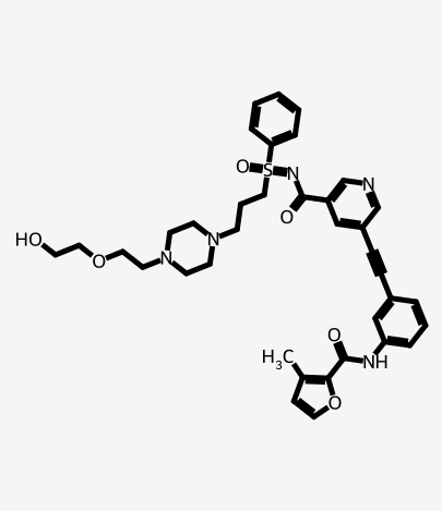 Cc1ccoc1C(=O)Nc1cccc(C#Cc2cncc(C(=O)N=S(=O)(CCCN3CCN(CCOCCO)CC3)c3ccccc3)c2)c1